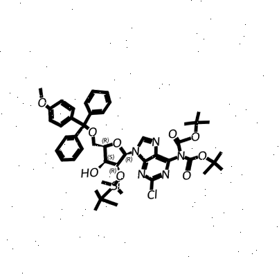 COc1ccc(C(OC[C@H]2O[C@@H](n3cnc4c(N(C(=O)OC(C)(C)C)C(=O)OC(C)(C)C)nc(Cl)nc43)[C@H](O[Si](C)(C)C(C)(C)C)[C@H]2O)(c2ccccc2)c2ccccc2)cc1